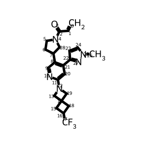 C=CC(=O)N1CCC(c2cnc(N3CC4(CC(C(F)(F)F)C4)C3)cc2-c2ccn(C)n2)C1